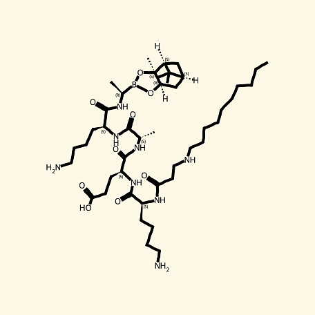 CCCCCCCCCCNCCC(=O)N[C@@H](CCCCN)C(=O)N[C@@H](CCC(=O)O)C(=O)N[C@@H](C)C(=O)N[C@@H](CCCCN)C(=O)N[C@@H](C)B1O[C@@H]2C[C@@H]3C[C@@H](C3(C)C)[C@]2(C)O1